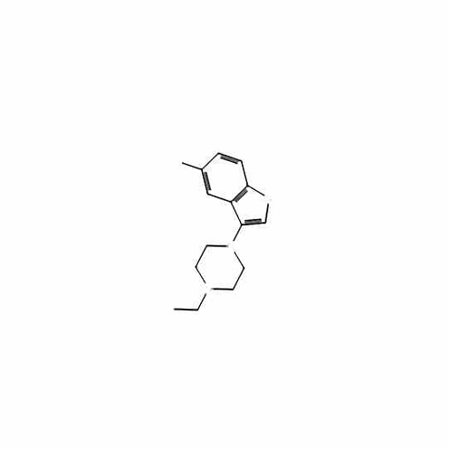 CCN1CCN(c2c[nH]c3ccc(Br)cc23)CC1